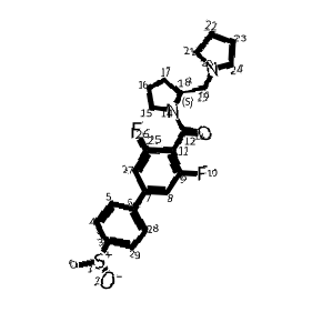 C[S+]([O-])c1ccc(-c2cc(F)c(C(=O)N3CCC[C@H]3CN3CCCC3)c(F)c2)cc1